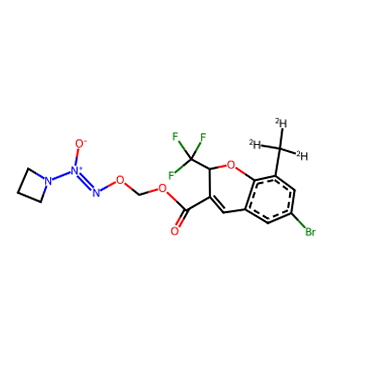 [2H]C([2H])([2H])c1cc(Br)cc2c1OC(C(F)(F)F)C(C(=O)OCON=[N+]([O-])N1CCC1)=C2